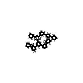 c1ccc(-c2ccc(-c3cccc(-c4cc(-c5ccccc5)nc(-c5cc(-c6cccc7c6oc6ccccc67)cc(-c6cccc7c6oc6ccccc67)c5)n4)c3)cc2)cc1